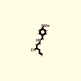 C=CCC(CC)CCNCc1ccc(NC)cc1